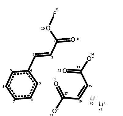 O=C(C=Cc1ccccc1)OF.O=C([O-])/C=C\C(=O)[O-].[Li+].[Li+]